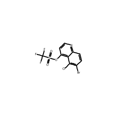 O=S(=O)(Oc1ccnc2ccc(Br)c(Cl)c12)C(F)(F)F